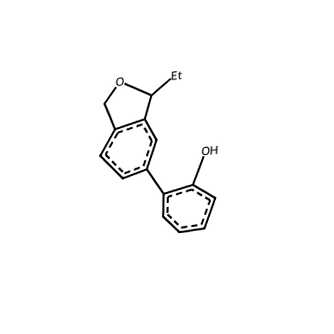 CCC1OCc2ccc(-c3ccccc3O)cc21